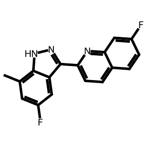 Cc1cc(F)cc2c(-c3ccc4ccc(F)cc4n3)n[nH]c12